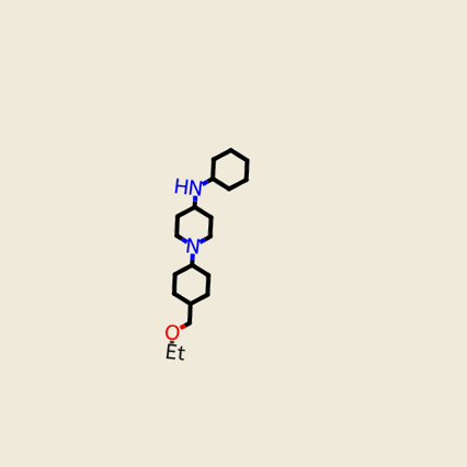 CCOCC1CCC(N2CCC(NC3CCCCC3)CC2)CC1